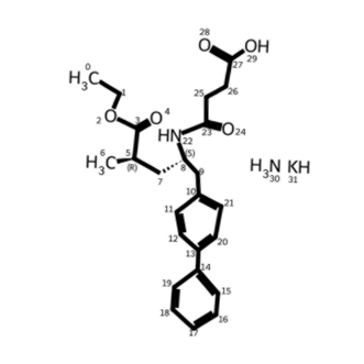 CCOC(=O)[C@H](C)C[C@@H](Cc1ccc(-c2ccccc2)cc1)NC(=O)CCC(=O)O.N.[KH]